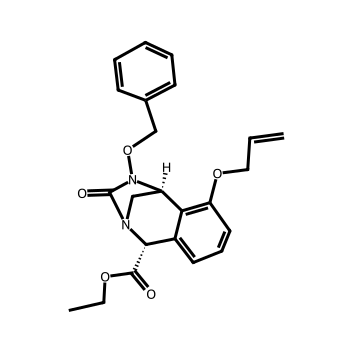 C=CCOc1cccc2c1[C@H]1CN(C(=O)N1OCc1ccccc1)[C@H]2C(=O)OCC